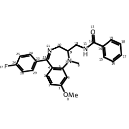 COc1ccc2c(c1)N(C)C(CNC(=O)c1ccccc1)CN=C2c1ccc(F)cc1